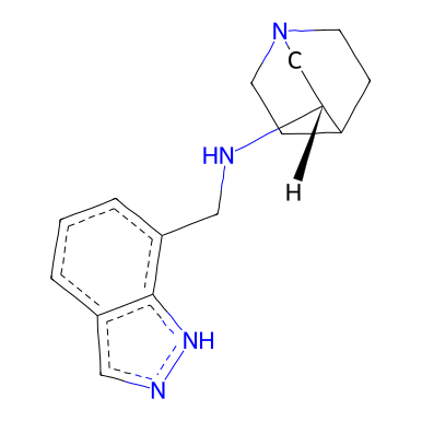 c1cc(CN[C@@H]2CN3CCC2CC3)c2[nH]ncc2c1